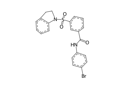 O=C(Nc1ccc(Br)cc1)c1cccc(S(=O)(=O)N2CCc3ccccc32)c1